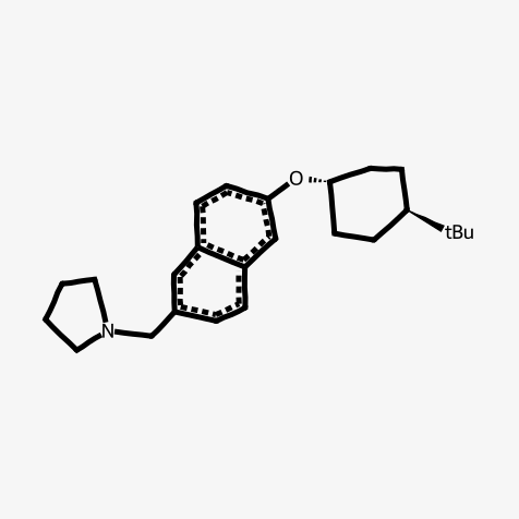 CC(C)(C)[C@H]1CC[C@H](Oc2ccc3cc(CN4CCCC4)ccc3c2)CC1